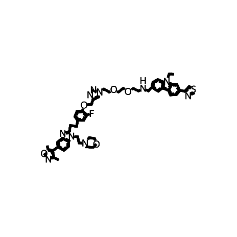 CCn1c2ccc(CNCCOCCOCCn3cc(COc4ccc(CCc5nc6cc(-c7c(C)noc7C)ccc6n5CCN5CCOCC5)cc4F)nn3)cc2c2ccc(-c3cscn3)cc21